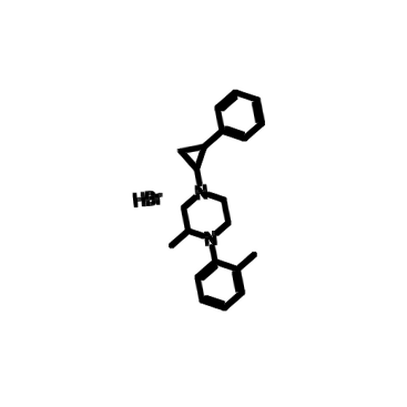 Br.Cc1ccccc1N1CCN(C2CC2c2ccccc2)CC1C